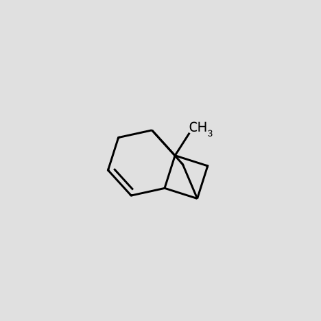 CC12CC3CC1CC=CC32